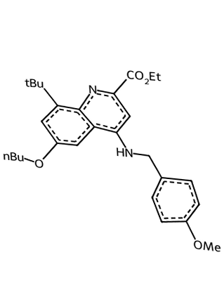 CCCCOc1cc(C(C)(C)C)c2nc(C(=O)OCC)cc(NCc3ccc(OC)cc3)c2c1